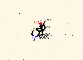 COC1=CC2[C@H]3N(C)CC[C@]2(CC1=O)c1c(ccc(OC)c1O)C3(OC)OC